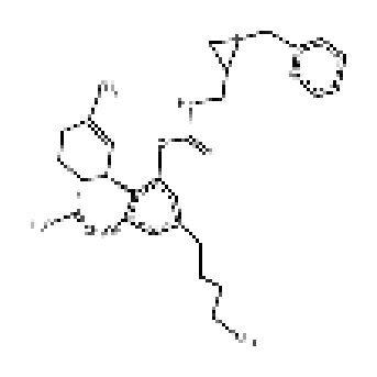 C=C(C)[C@@H]1CCC(C)=C[C@H]1c1c(O)cc(CCCCC)cc1OC(=S)NCC1CN1Cc1ccccc1